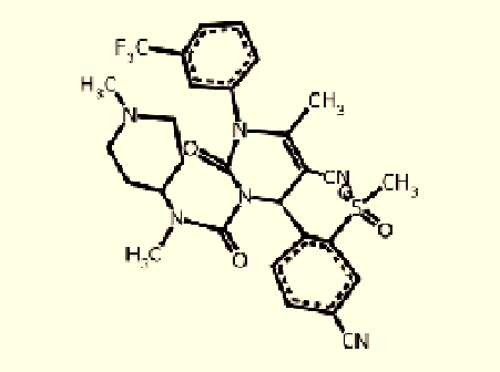 CC1=C(C#N)[C@@H](c2ccc(C#N)cc2S(C)(=O)=O)N(C(=O)N(C)C2CCN(C)CC2)C(=O)N1c1cccc(C(F)(F)F)c1